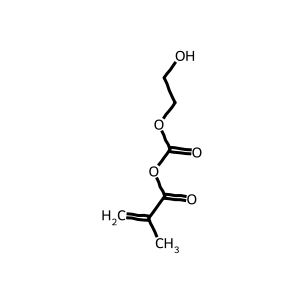 C=C(C)C(=O)OC(=O)OCCO